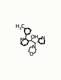 Cc1cccc(-c2ncccc2[C@@H](O)[C@H](c2cccnc2)N2CCOCC2)c1